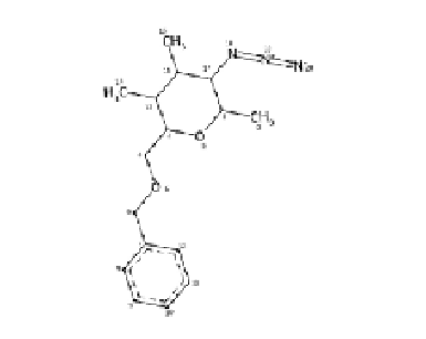 CC1OC(COCc2ccccc2)C(C)C(C)C1N=[N+]=[N-]